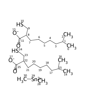 CC(C)CCCCCC(CS)C(=O)[O-].CC(C)CCCCCC(CS)C(=O)[O-].[CH3][Sn+2][CH3]